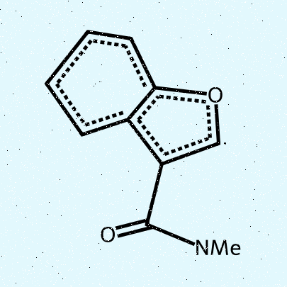 CNC(=O)c1[c]oc2ccccc12